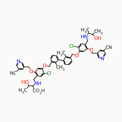 Cc1c(COc2cc(OCc3cncc(C#N)c3)c(CNC(C)C(C)O)cc2Cl)cccc1-c1cccc(COc2cc(OCc3cncc(C#N)c3)c(CNC(C(=O)O)C(C)O)cc2Cl)c1C